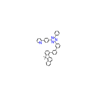 CC1(C)c2cccc(-c3cccc(-c4cccc(-c5nc(-c6ccccc6)nc(-c6ccc(-c7ccccn7)cc6)n5)c4)c3)c2-c2ccc3ccccc3c21